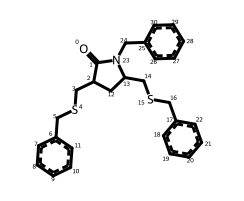 O=C1C(CSCc2ccccc2)CC(CSCc2ccccc2)N1Cc1ccccc1